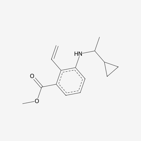 C=Cc1c(NC(C)C2CC2)cccc1C(=O)OC